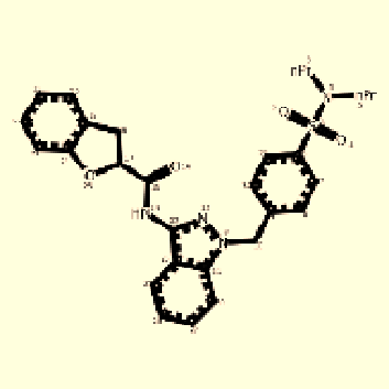 CCCN(CCC)S(=O)(=O)c1ccc(Cn2nc(NC(=O)C3Cc4ccccc4O3)c3ccccc32)cc1